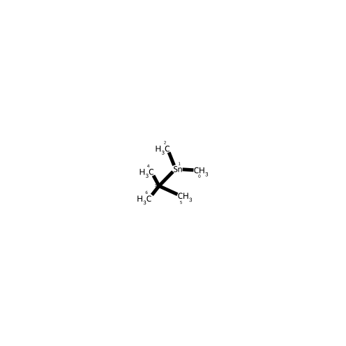 [CH3][Sn]([CH3])[C](C)(C)C